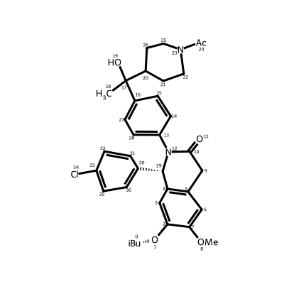 CC[C@@H](C)Oc1cc2c(cc1OC)CC(=O)N(c1ccc(C(C)(O)C3CCN(C(C)=O)CC3)cc1)[C@H]2c1ccc(Cl)cc1